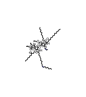 C=CCOC(=O)O[C@@H]1C(COC2OC(COC)[C@@H](OP(=O)(OCC=C)OCC=C)C(OCCC(CCCCCCC)OC)[C@H]2NC(=O)CCCCCCCCC/C=C\CCCCCC)O[C@H](O/C=C\C)[C@H](NC(=O)CC(=O)CCCCCCCCCCC)C1OCCCCCCCCCC